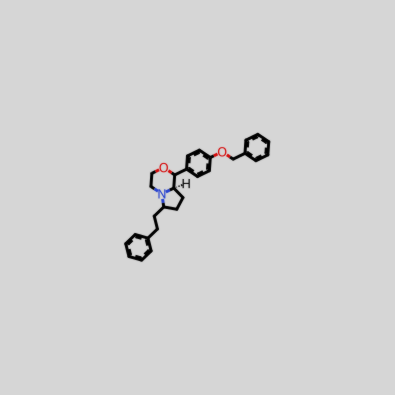 c1ccc(CCC2CC[C@@H]3C(c4ccc(OCc5ccccc5)cc4)OCCN23)cc1